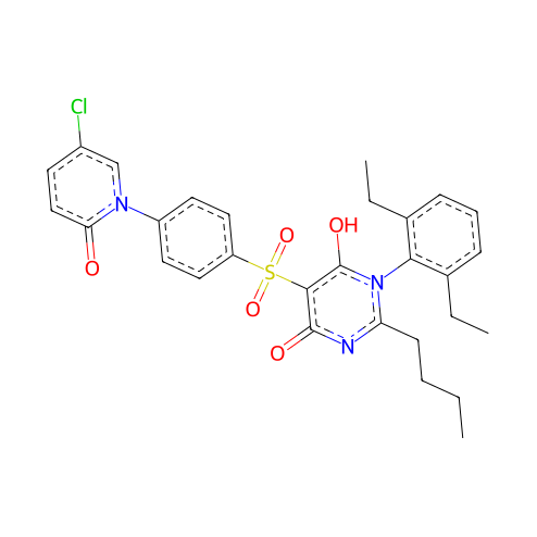 CCCCc1nc(=O)c(S(=O)(=O)c2ccc(-n3cc(Cl)ccc3=O)cc2)c(O)n1-c1c(CC)cccc1CC